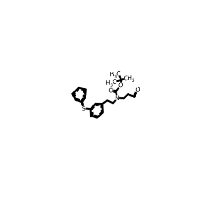 CC(C)(C)OC(=O)N(CCC=O)CCc1cccc(Sc2ccccc2)c1